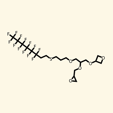 FC(F)(F)C(F)(F)C(F)(F)C(F)(F)C(F)(F)C(F)(F)CCSCCCOCC(COC1COC1)OCC1CO1